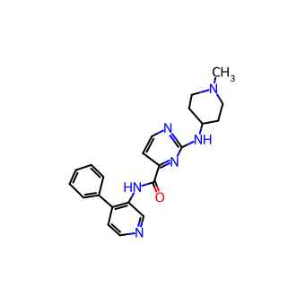 CN1CCC(Nc2nccc(C(=O)Nc3cnccc3-c3ccccc3)n2)CC1